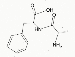 C[C@H](N)C(=O)N[C@H](Cc1ccccc1)C(=O)O